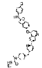 CCNC(=O)N(C)C1CCN(Cc2ccc(-c3cc4nccc(Oc5ccc6oc(Nc7ccc(Cl)cc7)nc6c5)c4s3)nc2)CC1